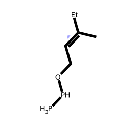 CC/C(C)=C/COPP